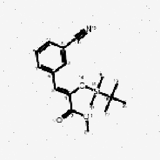 COC(=O)/C(=C/c1cccc(C#N)c1)O[Si](C)(C)C(C)(C)C